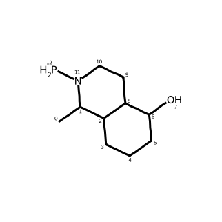 CC1C2CCCC(O)C2CCN1P